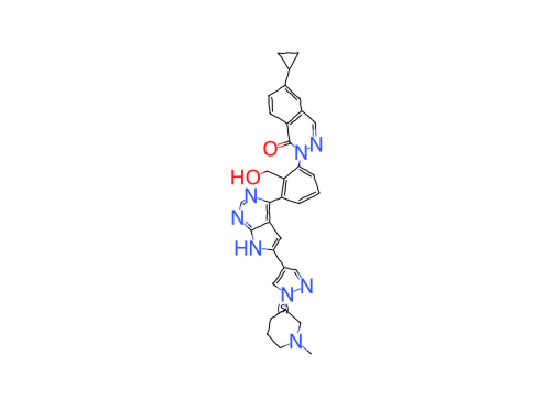 CN1CCC[C@H](n2cc(-c3cc4c(-c5cccc(-n6ncc7cc(C8CC8)ccc7c6=O)c5CO)ncnc4[nH]3)cn2)C1